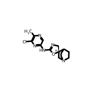 Cc1ncc(NC2=NC[C@@]3(CN4CCC3CC4)O2)nc1Cl